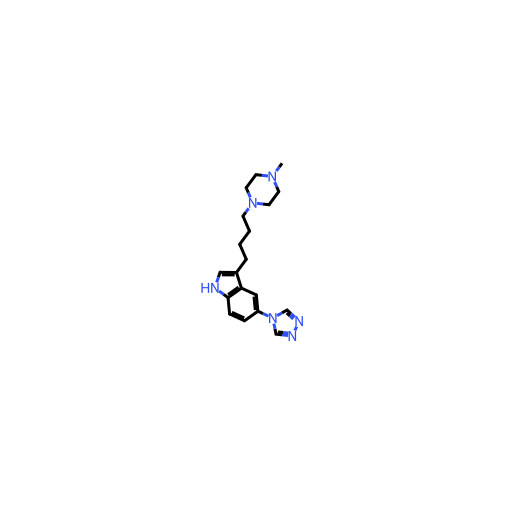 CN1CCN(CCCCc2c[nH]c3ccc(-n4cnnc4)cc23)CC1